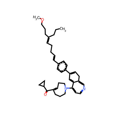 CCC/C(=C\CC/C=C/c1ccc(C2=CCC3=CN=CC=C(N4CC/C=C(\C(=O)C5CC5)CCC4)C3=C2)cc1)CCCOC